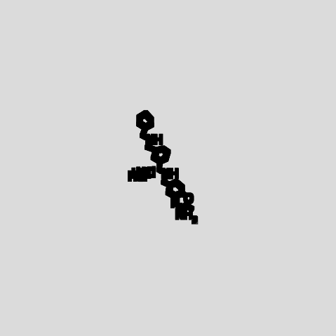 CC1Oc2ccc(CNCc3cccc(CNCc4ccccc4)c3)cc2N=C1N.Cl.Cl.Cl